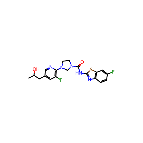 CC(O)Cc1cnc(N2CCN(C(=O)Nc3nc4ccc(F)cc4s3)C2)c(F)c1